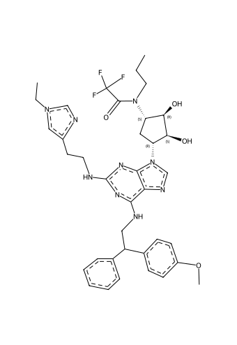 CCCN(C(=O)C(F)(F)F)[C@H]1C[C@@H](n2cnc3c(NCC(c4ccccc4)c4ccc(OC)cc4)nc(NCCc4cn(CC)cn4)nc32)[C@H](O)[C@@H]1O